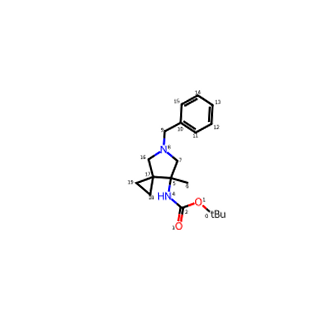 CC(C)(C)OC(=O)NC1(C)CN(Cc2ccccc2)CC12CC2